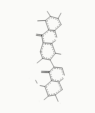 CC(=O)c1cc2c(=O)c3c(C(=O)O)c(O)c(O)cc3oc2c(C(C)=O)c1-c1coc2cc(O)c(O)c(OC=O)c2c1=O